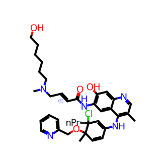 CCCC1(Cl)C=C(Nc2c(C)cnc3cc(O)c(NC(=O)/C=C/CN(C)CCCCCCO)cc23)C=CC1(C)OCc1ccccn1